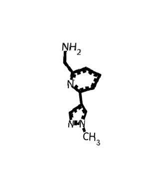 Cn1cc(-c2cccc(CN)n2)cn1